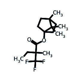 CCC(C)(C(=O)OC12CCC(C)(CC1)C2(C)C)C(F)(F)F